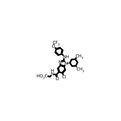 CC1C[C@@H](C)C[C@@H](n2c(Nc3ccc(OC(F)(F)F)cc3)nc3cc(C(=O)NCC(=O)O)c(Cl)cc32)C1